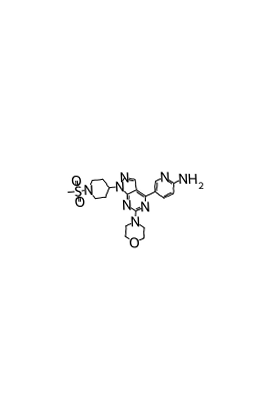 CS(=O)(=O)N1CCC(n2ncc3c(-c4ccc(N)nc4)nc(N4CCOCC4)nc32)CC1